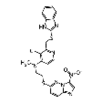 CN(CCSc1ccc2ncc([N+](=O)[O-])n2n1)c1ccnc(CSc2nc3ccccc3[nH]2)c1Cl